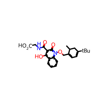 CC1CC(C(C)(C)C)=CC=C1COn1c(=O)c(C(=O)NCC(=O)O)c(O)c2ccccc21